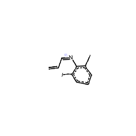 C=C/C=N\c1c(C)cccc1I